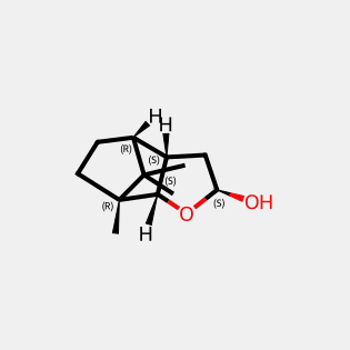 CC1(C)[C@@H]2CC[C@@]1(C)[C@H]1O[C@H](O)C[C@@H]21